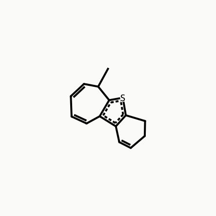 CC1C=CC=Cc2c1sc1c2C=CCC1